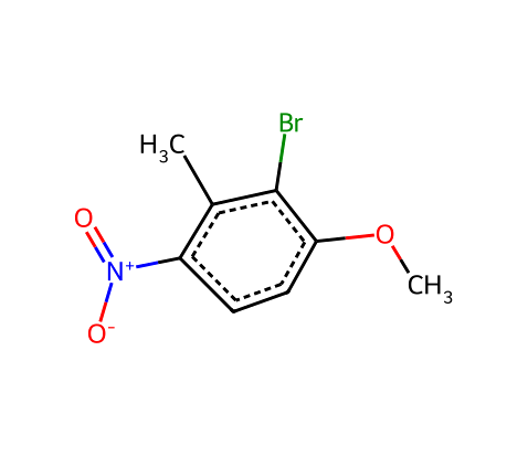 COc1ccc([N+](=O)[O-])c(C)c1Br